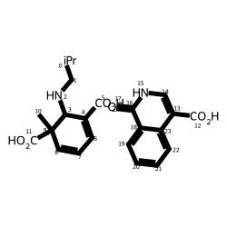 CC(C)CNC1C(C(=O)O)=CC=CC1(C)C(=O)O.O=C(O)c1c[nH]c(=O)c2ccccc12